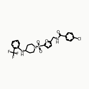 O=C(NCc1ccc(S(=O)(=O)N2CCC(Nc3ccccc3C(F)(F)F)CC2)o1)c1ccc(Cl)cc1